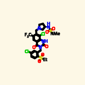 CCS(=O)(=O)c1ccc(Cl)cc1Cn1c(=O)[nH]c2c(Cl)c(CN3CC[C@@H](NS(=O)(=O)NC)C3)c(C(F)(F)F)cc2c1=O